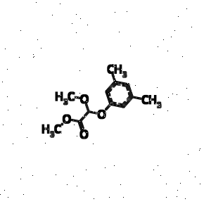 COC(=O)C(OC)Oc1cc(C)cc(C)c1